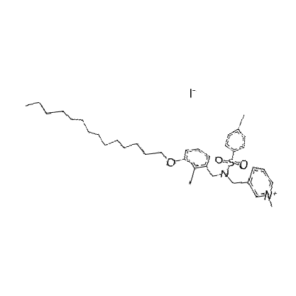 CCCCCCCCCCCCCCOc1cccc(CN(Cc2ccc[n+](C)c2)S(=O)(=O)c2ccc(C)cc2)c1C.[I-]